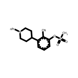 CCCN1CCC(c2cccc(OS(C)(=O)=O)c2C#N)CC1